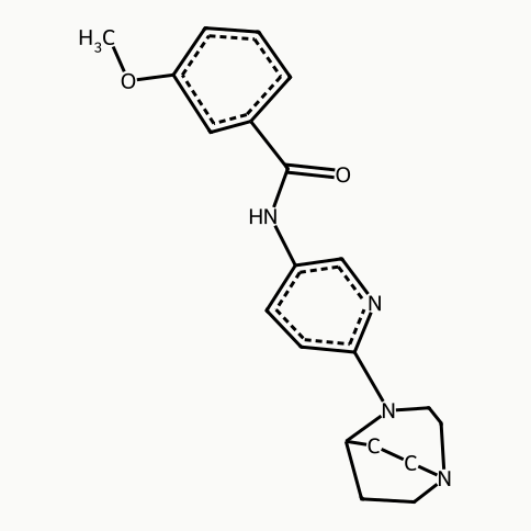 COc1cccc(C(=O)Nc2ccc(N3CCN4CCC3CC4)nc2)c1